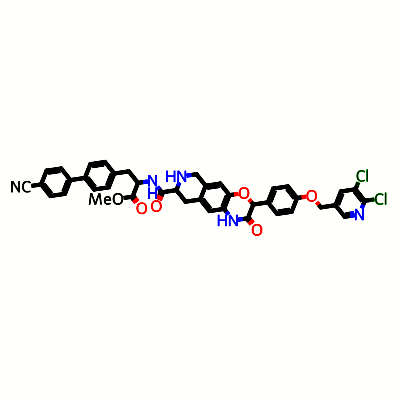 COC(=O)C(Cc1ccc(-c2ccc(C#N)cc2)cc1)NC(=O)C1Cc2cc3c(cc2CN1)OC(c1ccc(OCc2cnc(Cl)c(Cl)c2)cc1)C(=O)N3